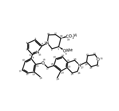 CO[C@H]1CN(c2cccc(-c3cccc(C)c3OCc3ccc4c(c3C)CCN(C3CCOCC3)C4)n2)CC[C@H]1C(=O)O